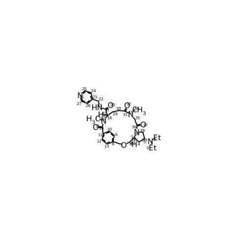 CCN(CC)[C@@H]1C[C@H]2COc3ccc(cc3)C(=O)N(C)[C@H](C(=O)NCc3ccncc3)CCC(=O)N(C)CC(=O)N2C1